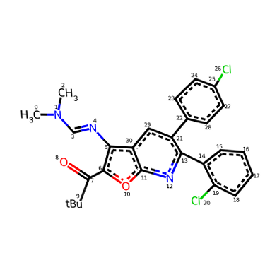 CN(C)C=Nc1c(C(=O)C(C)(C)C)oc2nc(-c3ccccc3Cl)c(-c3ccc(Cl)cc3)cc12